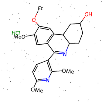 CCOc1cc2c(cc1OC)C(c1ccc(OC)nc1OC)=NC1CCC(O)CC21.Cl